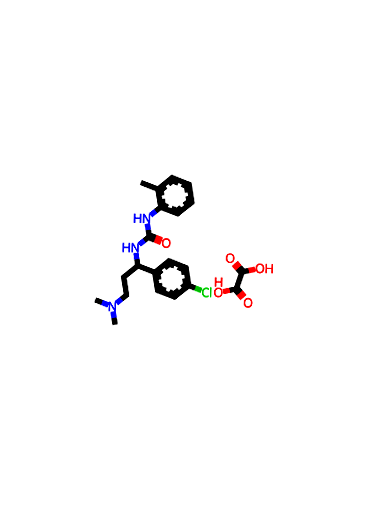 Cc1ccccc1NC(=O)NC(CCN(C)C)c1ccc(Cl)cc1.O=C(O)C(=O)O